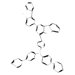 c1ccc(-c2ccc(N(c3ccc(-c4ccccc4)cc3)c3ccc(-c4cc(-c5ccc6oc7ccccc7c6c5)cc5c4oc4ccccc45)cc3)cc2)cc1